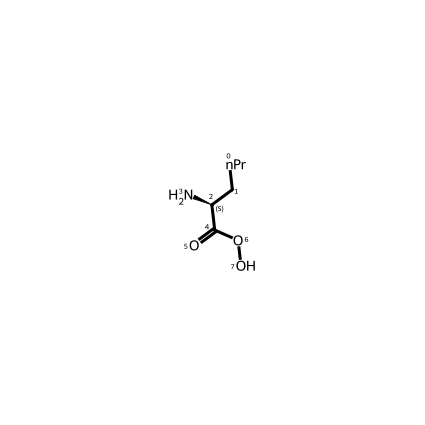 CCCC[C@H](N)C(=O)OO